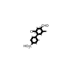 Cc1cc(-c2ccc(C(=O)O)cc2)c(Cl)cc1[C]=O